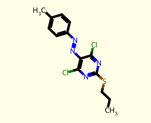 CCCSc1nc(Cl)c(N=Nc2ccc(C)cc2)c(Cl)n1